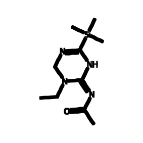 CCN1CN=C([Si](C)(C)C)NC1=NC(C)=O